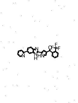 O=C(c1c[nH]c(-c2nc3ccc(-c4ccccn4)cc3[nH]2)c1)c1ccccc1C(F)(F)F